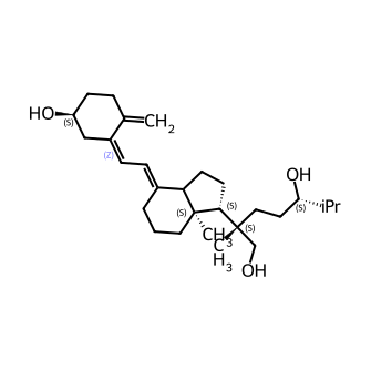 C=C1CC[C@H](O)C/C1=C/C=C1CCC[C@@]2(C)C1CC[C@@H]2[C@@](C)(CO)CC[C@H](O)C(C)C